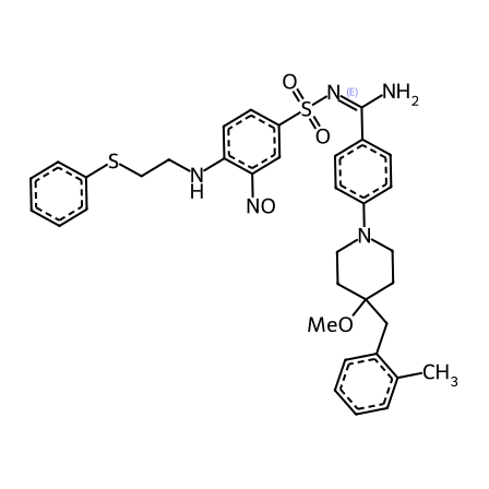 COC1(Cc2ccccc2C)CCN(c2ccc(/C(N)=N\S(=O)(=O)c3ccc(NCCSc4ccccc4)c(N=O)c3)cc2)CC1